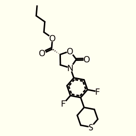 CCCCOC(=O)[C@H]1CN(c2cc(F)c(C3CCSCC3)c(F)c2)C(=O)O1